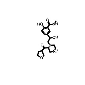 CNC(=O)c1cc(C(O)CN2CCNCC2C(=O)C2CCOC2)ccc1O